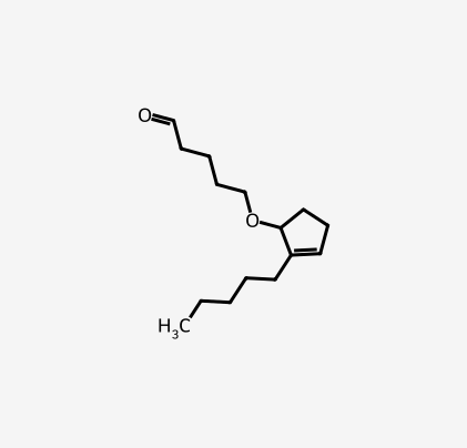 CCCCCC1=CCCC1OCCCCC=O